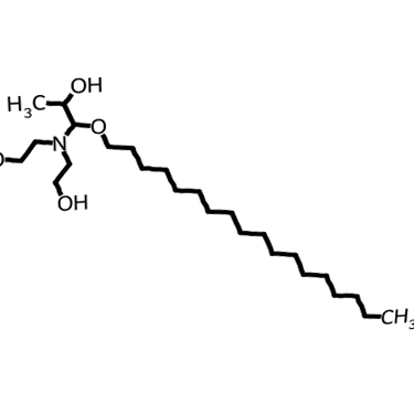 CCCCCCCCCCCCCCCCCCOC(C(C)O)N(CCO)CCO